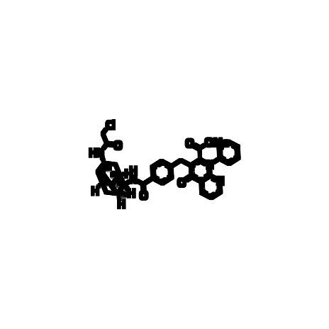 COC(=O)c1c(Cc2ccc(C(=O)N[C@H]3[C@@H]4C[C@H]5C[C@H]3C[C@](NC(=O)CCl)(C5)C4)cc2)c(=O)c2cccnc2n1-c1ccccc1